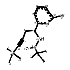 CC(C)(C)[S+]([O-])N[C@@H](CC#C[Si](C)(C)C)c1cccc(Br)n1